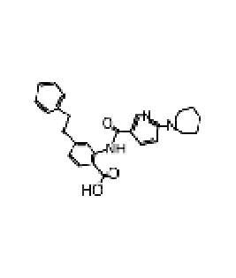 O=C(Nc1cc(CCc2ccccc2)ccc1C(=O)O)c1ccc(N2CCCCC2)nc1